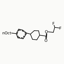 CCCCCCCCc1ccc(C2CCC(C(=O)OCC(F)F)CC2)cc1